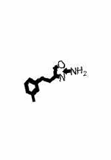 Cc1cccc(CCC2COC(N)=N2)c1